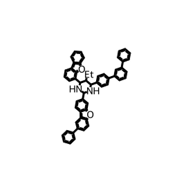 CCC1C(c2ccc(-c3cccc(-c4ccccc4)c3)cc2)NC(c2ccc3c(c2)oc2ccc(-c4ccccc4)cc23)NC1c1cccc2c1oc1ccccc12